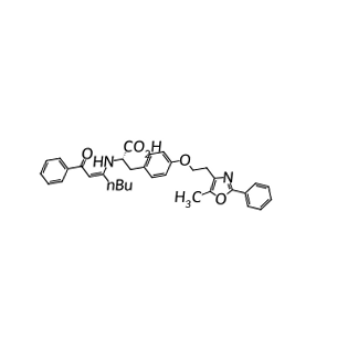 CCCCC(=CC(=O)c1ccccc1)N[C@@H](Cc1ccc(OCCc2nc(-c3ccccc3)oc2C)cc1)C(=O)O